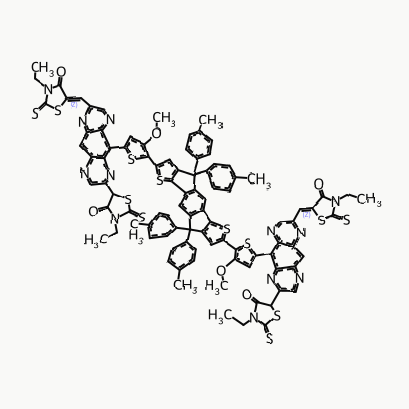 CCN1C(=O)/C(=C/c2cnc3c(-c4cc(OC)c(-c5cc6c(s5)-c5cc7c(cc5C6(c5ccc(C)cc5)c5ccc(C)cc5)-c5sc(-c6sc(-c8c9ncc(/C=C%10\SC(=S)N(CC)C%10=O)nc9cc9ncc(C%10SC(=S)N(CC)C%10=O)nc89)cc6OC)cc5C7(c5ccc(C)cc5)c5ccc(C)cc5)s4)c4nc(C5SC(=S)N(CC)C5=O)cnc4cc3n2)SC1=S